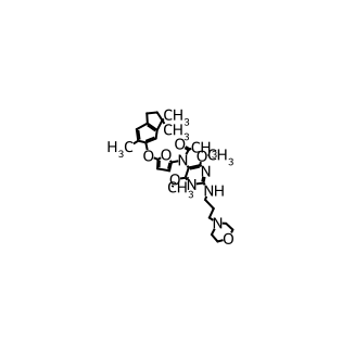 COc1nc(NCCCN2CCOCC2)nc(OC)c1N(C(C)=O)c1ccc(Oc2cc3c(cc2C)CCC3(C)C)o1